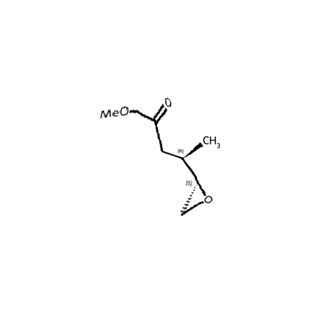 COC(=O)C[C@@H](C)[C@H]1CO1